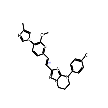 COc1nc(/C=C/c2nc3n(n2)CCCN3c2ccc(Cl)cc2)ccc1-n1cnc(C)c1